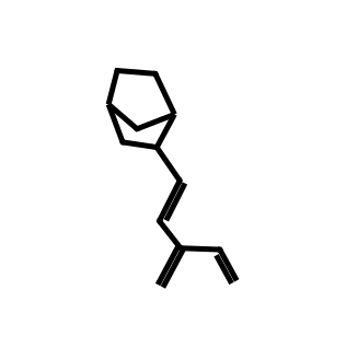 C=CC(=C)C=CC1CC2CCC1C2